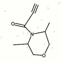 C#CC(=O)N1C(C)COCC1C